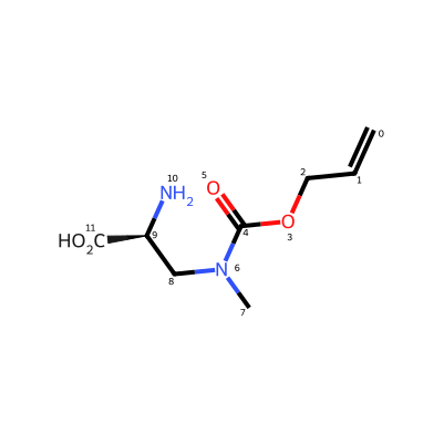 C=CCOC(=O)N(C)C[C@H](N)C(=O)O